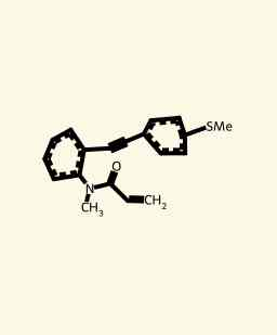 C=CC(=O)N(C)c1ccccc1C#Cc1ccc(SC)cc1